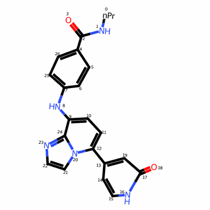 CCCNC(=O)c1ccc(Nc2ccc(-c3cc[nH]c(=O)c3)n3ccnc23)cc1